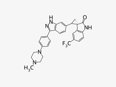 CN1CCN(c2ccc(-c3n[nH]c4cc(C5C[C@@]56C(=O)Nc5ccc(C(F)(F)F)cc56)ccc34)cc2)CC1